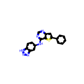 c1ccc(-c2cc3ncnc(Nc4ccc5[nH]nnc5c4)c3s2)cc1